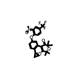 C[N+](=O)c1cc(C(F)(F)F)ccc1Oc1ccc(C2CC2)c(C2=C(O)C(C)(C)OC(C)(C)C2=O)c1